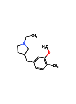 CCN1CCC(Cc2ccc(C)c(OC)c2)C1